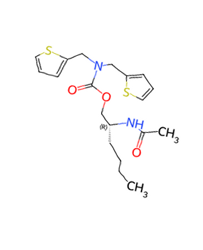 CCCC[C@H](COC(=O)N(Cc1cccs1)Cc1cccs1)NC(C)=O